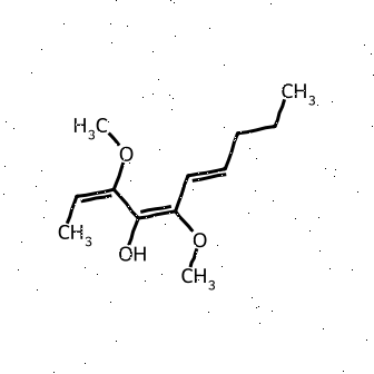 C\C=C(OC)/C(O)=C(\C=C\CCC)OC